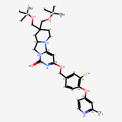 CC(C)(C)[Si](C)(C)OCC1(CO[Si](C)(C)C(C)(C)C)CCN2c3cc(OCc4ccc(Oc5ccnc(C(F)(F)F)c5)c(F)c4)nc(=O)n3CC2C1